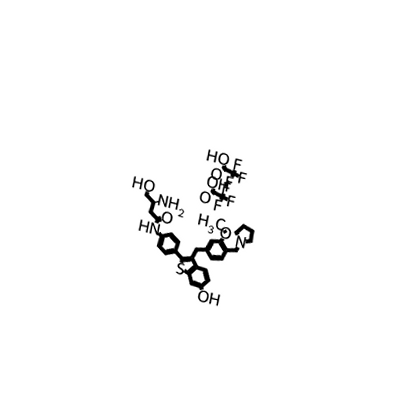 COc1cc(Cc2c(-c3ccc(NC(=O)C[C@@H](N)CO)cc3)sc3cc(O)ccc23)ccc1CN1CCCC1.O=C(O)C(F)(F)F.O=C(O)C(F)(F)F